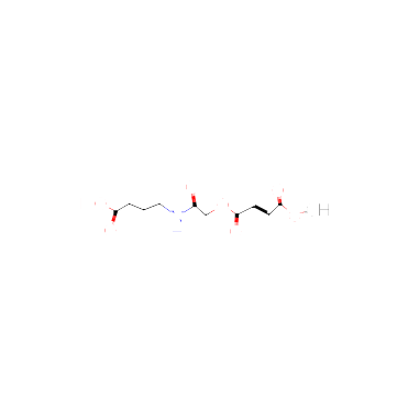 COC(=O)C=CC(=O)OCC(=O)NCCCC(=O)O